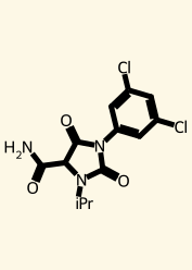 CC(C)N1C(=O)N(c2cc(Cl)cc(Cl)c2)C(=O)C1C(N)=O